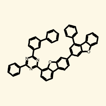 c1ccc(-c2cccc(-c3nc(-c4ccccc4)nc(-c4cccc5c4oc4cc(-c6cc(-c7ccccc7)c7c(c6)oc6ccccc67)ccc45)n3)c2)cc1